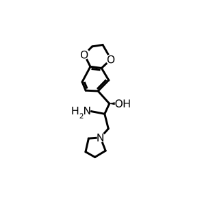 NC(CN1CCCC1)[C@H](O)c1ccc2c(c1)OCCO2